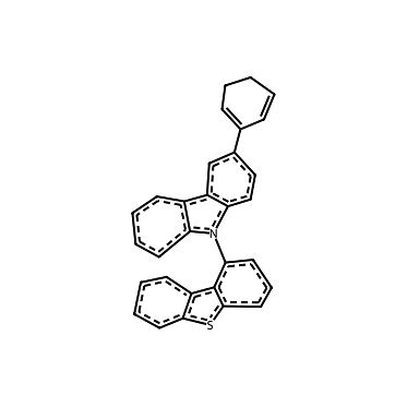 C1=CC(c2ccc3c(c2)c2ccccc2n3-c2cccc3sc4ccccc4c23)=CCC1